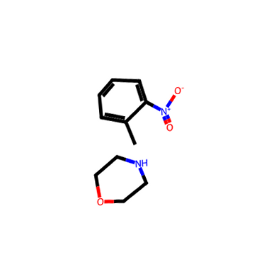 C1COCCN1.Cc1ccccc1[N+](=O)[O-]